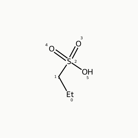 [CH2]C[CH]S(=O)(=O)O